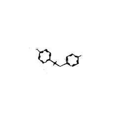 CCCCc1ccc(C(C)(C)Cc2ccc(O)cc2)cc1